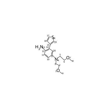 COCCN(CCOC)c1ccc(N)c(-c2ccsc2)c1